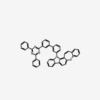 C1=Cc2c(ccc3c4ccccc4n(-c4cccc(-c5cccc(-c6nc(-c7ccccc7)nc(-c7ccccc7)n6)c5)c4)c23)Sc2ccccc21